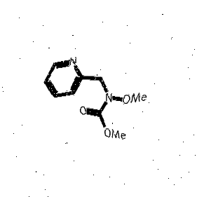 COC(=O)N(Cc1ccccn1)OC